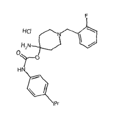 CC(C)c1ccc(NC(=O)OC2(N)CCN(Cc3ccccc3F)CC2)cc1.Cl